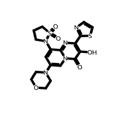 O=c1c(O)c(-c2nccs2)nc2c(N3CCCS3(=O)=O)cc(N3CCOCC3)cn12